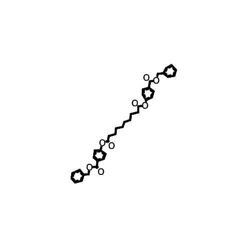 O=C(CCCCCCCCC(=O)Oc1ccc(C(=O)OCc2ccccc2)cc1)Oc1ccc(C(=O)OCc2ccccc2)cc1